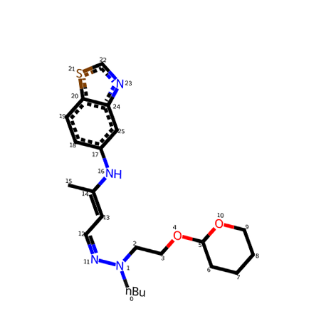 CCCCN(CCOC1CCCCO1)/N=C\C=C(/C)Nc1ccc2scnc2c1